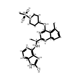 Cc1cccc2nc([C@H](C)Nc3ncnc4[nH]c(Cl)nc34)nc(OC3CCN(S(C)(=O)=O)CC3)c12